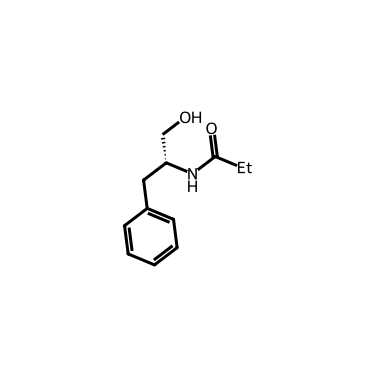 CCC(=O)N[C@@H](CO)Cc1ccccc1